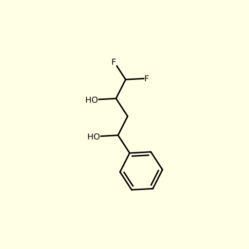 OC(CC(O)C(F)F)c1ccccc1